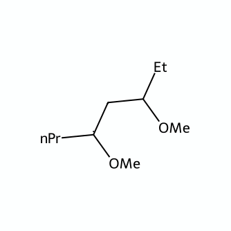 CCC[C](CC(CC)OC)OC